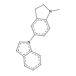 CN1CCc2cc(-n3ccc4c[c]ccc43)ccc21